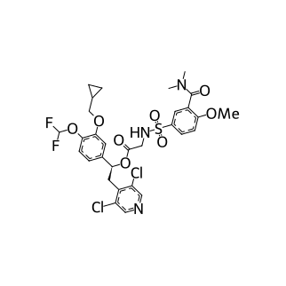 COc1ccc(S(=O)(=O)NCC(=O)O[C@@H](Cc2c(Cl)cncc2Cl)c2ccc(OC(F)F)c(OCC3CC3)c2)cc1C(=O)N(C)C